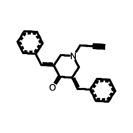 C#CCN1C/C(=C\c2ccccc2)C(=O)/C(=C/c2ccccc2)C1